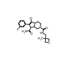 CC1(CNC(=O)N2CCN3C(Cl)=C(c4cccc(F)c4)C(C(N)=O)C3C2)COC1